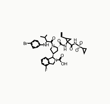 C=CC1CC1(NC(=O)[C@@H]1C[C@@H](C2c3cccc(F)c3CN2C(=O)O)CN1C(=O)[C@@H](Nc1ccc(Br)cc1)C(C)C)C(=O)NS(=O)(=O)C1CC1